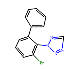 Brc1cccc(-c2ccccc2)c1-n1ncnn1